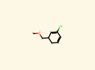 COCC1C=C(Cl)C=CC1